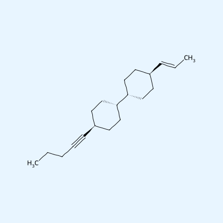 CC=C[C@H]1CC[C@H]([C@H]2CC[C@H](C#CCCC)CC2)CC1